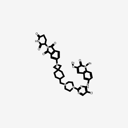 CCOc1cc2cc(Nc3nc(N4CCN(CC5CCC6(CC5)CN(c5ccc7c(c5)C(=O)N(C5CCC(=O)NC5=O)C7=O)C6)CC4)ncc3Cl)ccc2n(C(C)C)c1=O